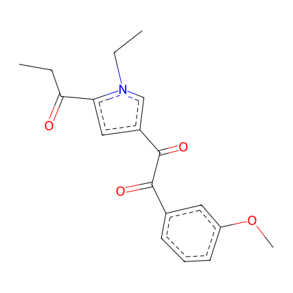 CCC(=O)c1cc(C(=O)C(=O)c2cccc(OC)c2)cn1CC